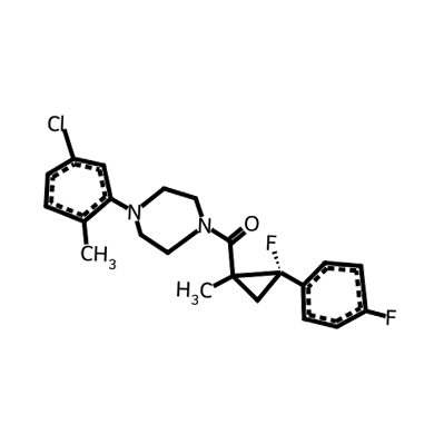 Cc1ccc(Cl)cc1N1CCN(C(=O)C2(C)C[C@]2(F)c2ccc(F)cc2)CC1